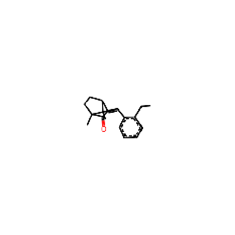 CCc1ccccc1/C=C1\C(=O)C2(C)CCC1C2(C)C